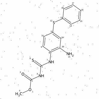 COC(=O)NC(=S)Nc1ccc(Sc2ccccc2)cc1N